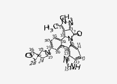 Cc1c2c(nn1C)C(=O)N1c3ccc4[nH]cnc4c3-c3cc(N4CCC5(COC5)C4)ccc3C21